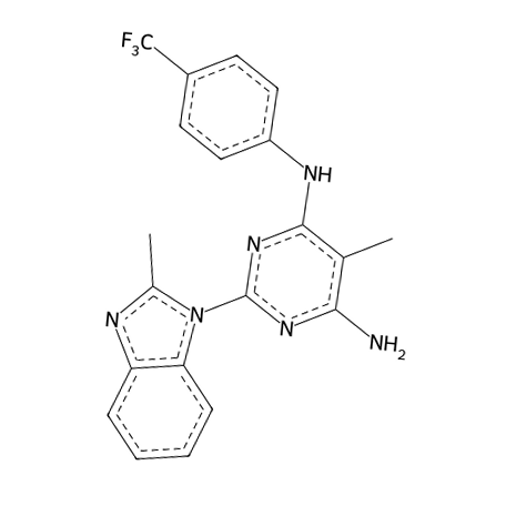 Cc1c(N)nc(-n2c(C)nc3ccccc32)nc1Nc1ccc(C(F)(F)F)cc1